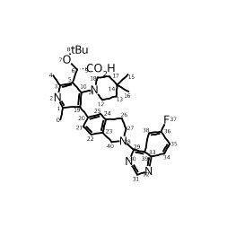 Cc1nc(C)c([C@H](OC(C)(C)C)C(=O)O)c(N2CCC(C)(C)CC2)c1-c1ccc2c(c1)CCN(c1ncnc3ccc(F)cc13)C2